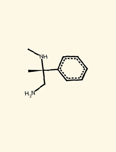 CN[C@@](C)(CN)c1ccccc1